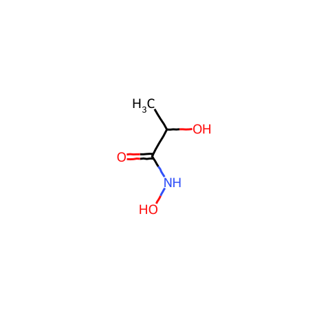 CC(O)C(=O)NO